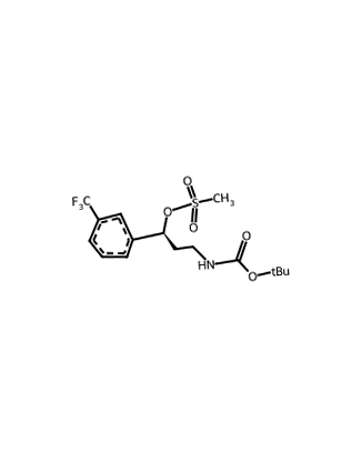 CC(C)(C)OC(=O)NCC[C@H](OS(C)(=O)=O)c1cccc(C(F)(F)F)c1